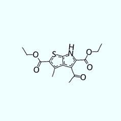 CCOC(=O)c1[nH]c2sc(C(=O)OCC)c(C)c2c1C(C)=O